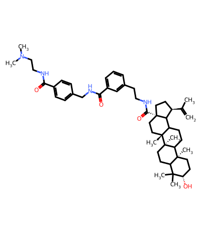 C=C(C)[C@@H]1CC[C@]2(C(=O)NCCc3cccc(C(=O)NCc4ccc(C(=O)NCCN(C)C)cc4)c3)CC[C@]3(C)C(CCC4[C@@]5(C)CC[C@H](O)C(C)(C)C5CC[C@]43C)C12